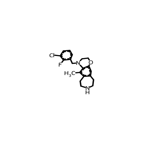 Cc1c2c(cc3c1N(Cc1cccc(Cl)c1F)CCO3)CCNCC2